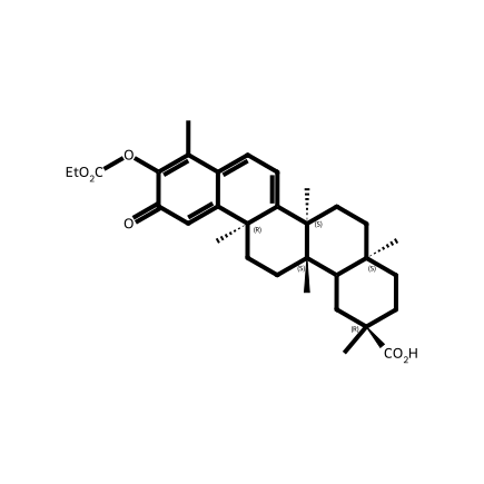 CCOC(=O)OC1=C(C)C2=CC=C3[C@@](C)(CC[C@@]4(C)C5C[C@](C)(C(=O)O)CC[C@]5(C)CC[C@]34C)C2=CC1=O